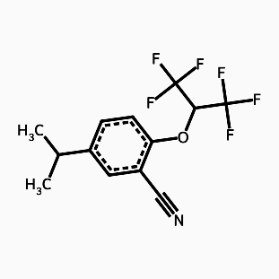 CC(C)c1ccc(OC(C(F)(F)F)C(F)(F)F)c(C#N)c1